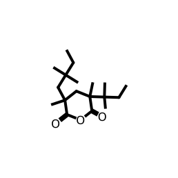 CCC(C)(C)CC1(C)CC(C)(C(C)(C)CC)C(=O)OC1=O